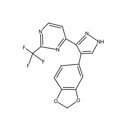 FC(F)(F)c1nccc(-c2n[nH]cc2-c2ccc3c(c2)OCO3)n1